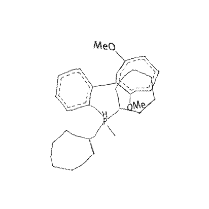 COc1cccc(OC)c1-c1ccccc1[PH](C)(C1CCCCC1)C1CCCCC1